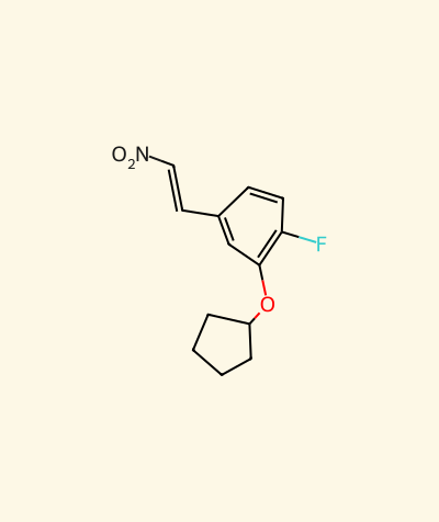 O=[N+]([O-])C=Cc1ccc(F)c(OC2CCCC2)c1